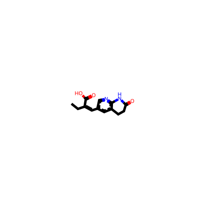 CCC(=Cc1cnc2c(c1)CCC(=O)N2)C(=O)O